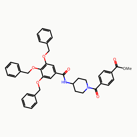 COC(=O)c1ccc(C(=O)N2CCC(NC(=O)c3cc(OCc4ccccc4)c(OCc4ccccc4)c(OCc4ccccc4)c3)CC2)cc1